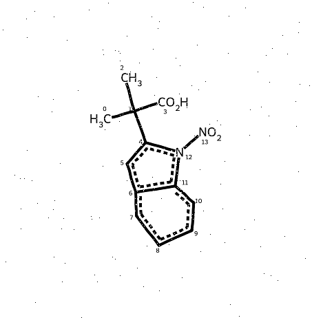 CC(C)(C(=O)O)c1cc2ccccc2n1[N+](=O)[O-]